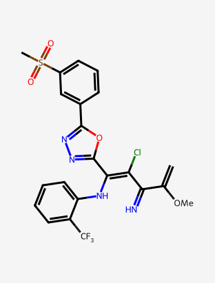 C=C(OC)C(=N)/C(Cl)=C(\Nc1ccccc1C(F)(F)F)c1nnc(-c2cccc(S(C)(=O)=O)c2)o1